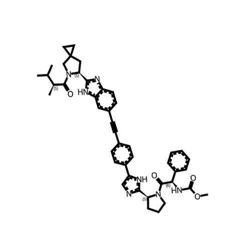 COC(=O)N[C@@H](C(=O)N1CCC[C@H]1c1ncc(-c2ccc(C#Cc3ccc4nc([C@@H]5CC6(CC6)CN5C(=O)[C@@H](C)C(C)C)[nH]c4c3)cc2)[nH]1)c1ccccc1